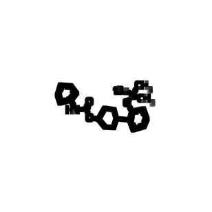 CC(C)(C)[Si](C)(C)Oc1ccccc1C1CCC(OC(=O)Nc2ccccc2)CC1